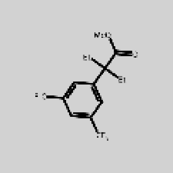 CCC(CC)(C(=O)OC)c1cc(C(F)(F)F)cc(C(F)(F)F)c1